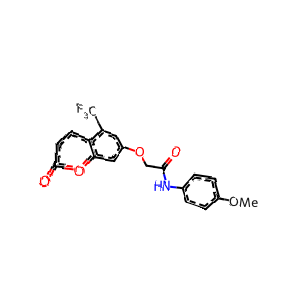 COc1ccc(NC(=O)COc2cc(C(F)(F)F)c3ccc(=O)oc3c2)cc1